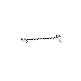 CC(C)CCCCCCCCCCCCCCCCCCCCCCC(N)=O